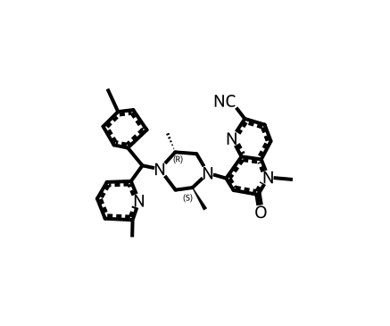 Cc1ccc(C(c2cccc(C)n2)N2C[C@H](C)N(c3cc(=O)n(C)c4ccc(C#N)nc34)C[C@H]2C)cc1